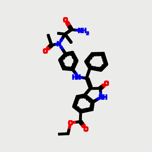 CCOC(=O)c1ccc2c(c1)NC(=O)C2=C(Nc1ccc(N(C(C)=O)C(C)(C)C(N)=O)cc1)c1ccccc1